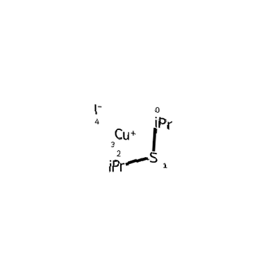 CC(C)SC(C)C.[Cu+].[I-]